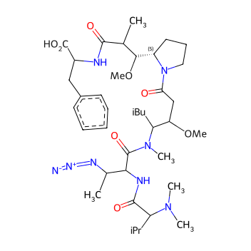 CCC(C)C(C(CC(=O)N1CCC[C@H]1C(OC)C(C)C(=O)NC(Cc1ccccc1)C(=O)O)OC)N(C)C(=O)C(NC(=O)C(C(C)C)N(C)C)C(C)N=[N+]=[N-]